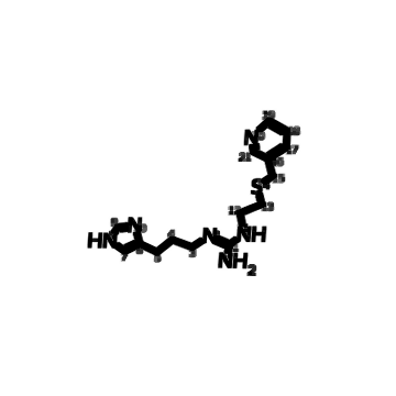 NC(=NCCCc1c[nH]cn1)NCCSCc1cccnc1